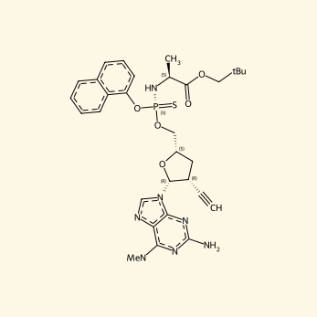 C#C[C@H]1C[C@@H](CO[P@@](=S)(N[C@@H](C)C(=O)OCC(C)(C)C)Oc2cccc3ccccc23)O[C@H]1n1cnc2c(NC)nc(N)nc21